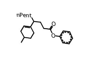 CCCCCC(CCC(=O)Oc1ccccc1)C1=CCC(C)CC1